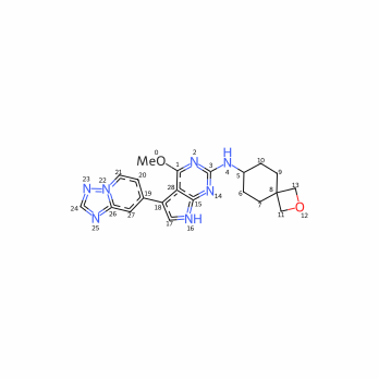 COc1nc(NC2CCC3(CC2)COC3)nc2[nH]cc(-c3ccn4ncnc4c3)c12